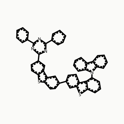 c1ccc(-c2nc(-c3ccccc3)nc(-c3ccc4sc5ccc(-c6ccc7c(c6)sc6cccc(-n8c9ccccc9c9ccccc98)c67)cc5c4c3)n2)cc1